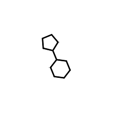 [CH]1CCCC1C1[CH]CCCC1